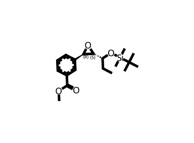 CCC(O[Si](C)(C)C(C)(C)C)[C@H]1O[C@@H]1c1cccc(C(=O)OC)c1